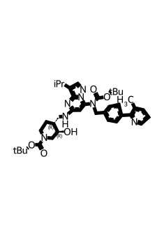 Cc1cccnc1-c1ccc(CN(C(=O)OC(C)(C)C)c2cc(NC[C@H]3CCN(C(=O)OC(C)(C)C)C[C@@H]3O)nc3c(C(C)C)cnn23)cc1